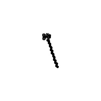 CCCCCCCCCCCCCCCCCCn1ccnc1[N+](=O)[O-]